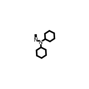 C=NN(C1CCCCC1)C1CCCCC1